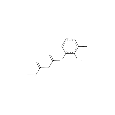 CCC(=O)CC(=O)Oc1cccc(C)c1O